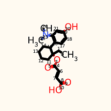 CCC1(OC(=O)/C=C/C(=O)O)CCCCC1c1ccc(O)cc1N(C)C